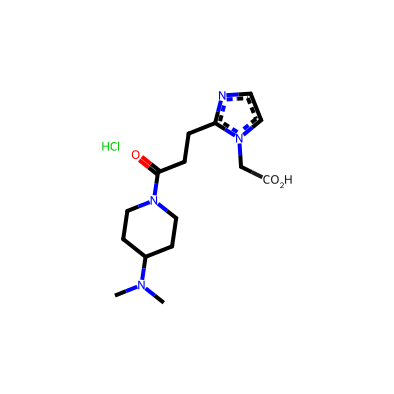 CN(C)C1CCN(C(=O)CCc2nccn2CC(=O)O)CC1.Cl